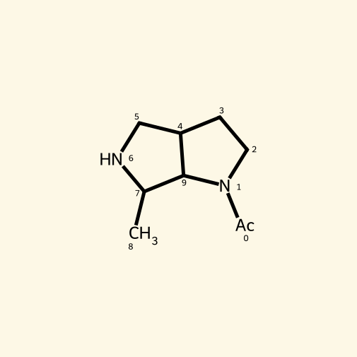 CC(=O)N1CCC2CNC(C)C21